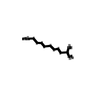 CCCCCCCCCCCCCCC(N)O